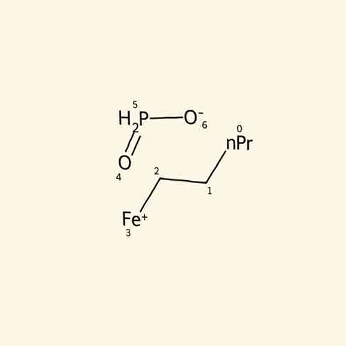 CCCC[CH2][Fe+].O=[PH2][O-]